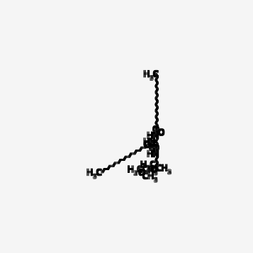 CCCCCCCCCCCCCCCCCCOC(=O)NCC(COCNCCCC(C)(C)OCCC(C)(C)OC)NC(=O)OCCCCCCCCCCCCCCCCCC